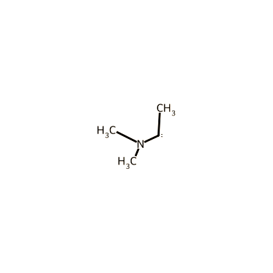 C[C]N(C)C